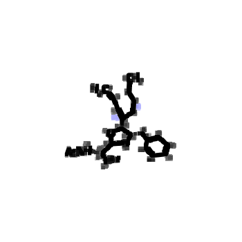 C=C/C=C\C(=C/C=C)[C@@H]1OC([C@@H](NC(C)=O)C(C)(C)C)=N[C@H]1Cc1ccccc1